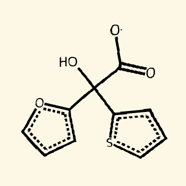 [O]C(=O)C(O)(c1ccco1)c1cccs1